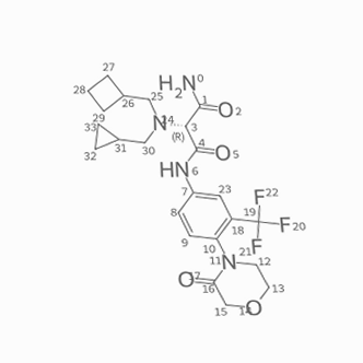 NC(=O)[C@H](C(=O)Nc1ccc(N2CCOCC2=O)c(C(F)(F)F)c1)N(CC1CCC1)CC1CC1